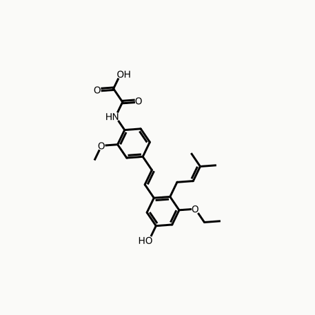 CCOc1cc(O)cc(C=Cc2ccc(NC(=O)C(=O)O)c(OC)c2)c1CC=C(C)C